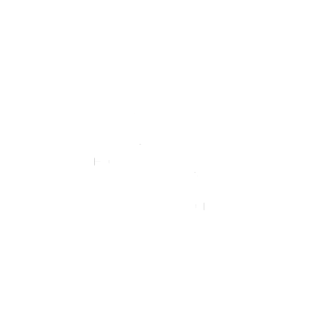 C[C](=O)[Ir][C](C)=O